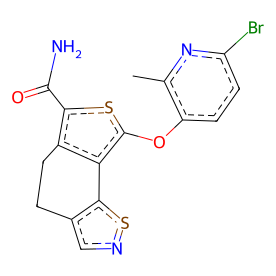 Cc1nc(Br)ccc1Oc1sc(C(N)=O)c2c1-c1sncc1CC2